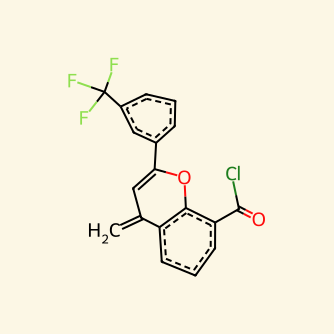 C=C1C=C(c2cccc(C(F)(F)F)c2)Oc2c1cccc2C(=O)Cl